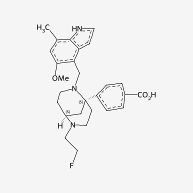 COc1cc(C)c2[nH]ccc2c1CN1CC[C@H]2C[C@]1(c1ccc(C(=O)O)cc1)CCN2CCF